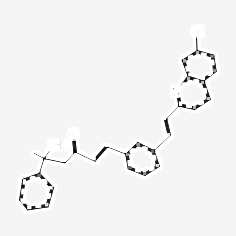 CC(O)(CC(=O)/C=C/c1cccc(/C=C/c2ccc3ccc(Cl)cc3n2)c1)c1ccccc1